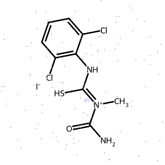 C/[N+](C(N)=O)=C(/S)Nc1c(Cl)cccc1Cl.[I-]